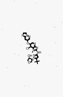 Cn1c(Nc2cc(C(C)(C)C)n([C@@H]3COC[C@@H]3O)n2)nc2ncc(Oc3cnn4ccnc4c3)c(Cl)c21